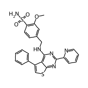 COc1cc(CNc2nc(-c3ccccn3)nc3scc(-c4ccccc4)c23)ccc1S(N)(=O)=O